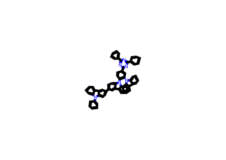 c1ccc(-c2nc(-c3ccccc3)nc(-c3ccc(-n4c5ccccc5c5cc(-c6ccc7c(c6)c6ccccc6n7-c6ccccc6)ccc54)c(-n4c5ccccc5c5ccccc54)c3)n2)cc1